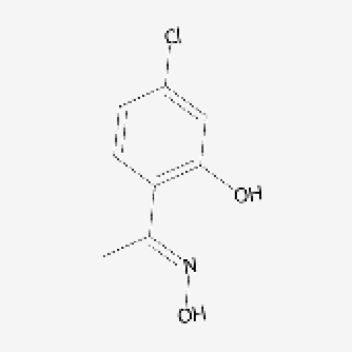 CC(=NO)c1ccc(Cl)cc1O